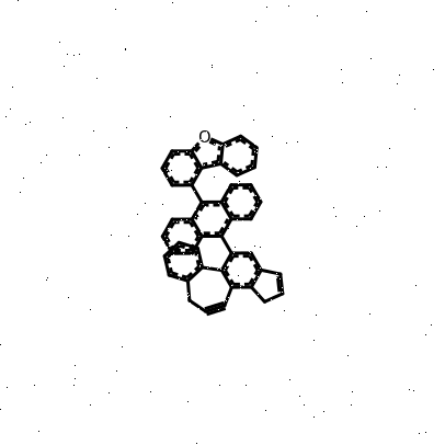 C1#Cc2c3c(cc(-c4c5ccccc5c(-c5cccc6oc7ccccc7c56)c5ccccc45)c2-c2ccccc2C1)C=CC3